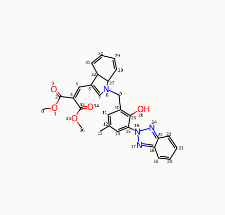 COC(=O)C(=CC1=CN(Cc2cc(C)cc(-n3nc4ccccc4n3)c2O)C2C=CC=CC12)C(=O)OC